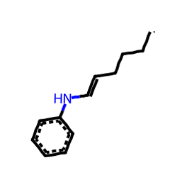 [CH2]CCCC=CNc1ccccc1